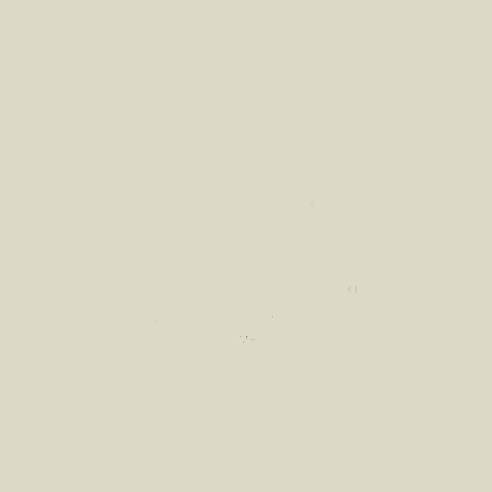 CCC1C(=CCCC(=O)O)C2(OC)CCC(O)C(C#CC(=O)C3CCCCC3)C12